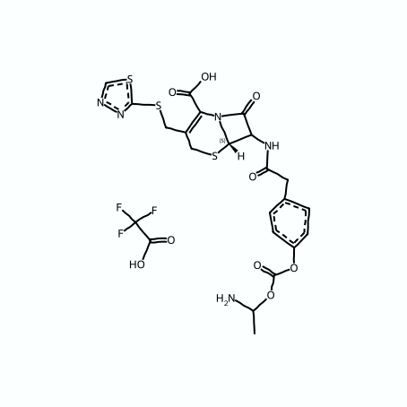 CC(N)OC(=O)Oc1ccc(CC(=O)NC2C(=O)N3C(C(=O)O)=C(CSc4nncs4)CS[C@@H]23)cc1.O=C(O)C(F)(F)F